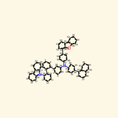 c1cc(-c2ccccc2-c2ccccc2-n2c3ccccc3c3ccccc32)cc(N(c2ccc(-c3cccc4ccccc34)cc2)c2ccc(-c3cccc4c3oc3ccccc34)cc2)c1